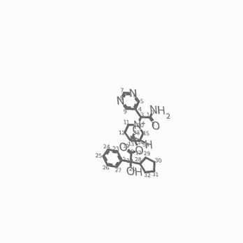 NC(=O)C(c1cncnc1)[N+]12CCC(CC1)[C@@H](OC(=O)C(O)(c1ccccc1)C1CCCC1)C2